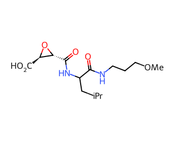 COCCCNC(=O)C(CC(C)C)NC(=O)[C@H]1O[C@@H]1C(=O)O